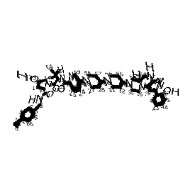 C#Cc1ccc(CNC(=O)[C@@H]2C[C@@H](O)CN2C(=O)[C@@H](NC(=O)c2ccc(N3CCC(N4CCC(N5CCN6c7cc(-c8ccccc8O)nnc7NC[C@H]6C5)CC4)CC3)cn2)C(C)(C)C)cc1